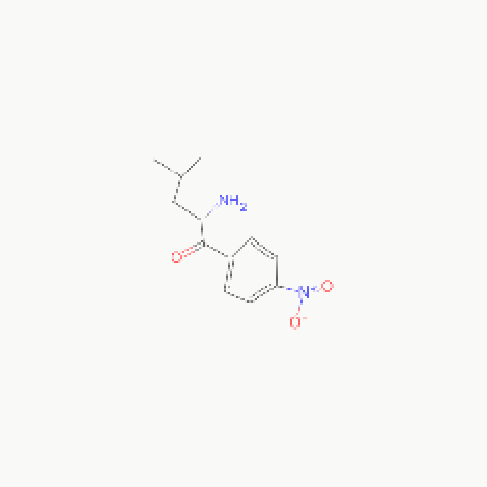 CC(C)C[C@H](N)C(=O)c1ccc([N+](=O)[O-])cc1